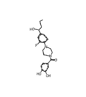 CCCC(O)c1ccc(N2CCN(C(=O)c3ccc(O)c(O)c3)CC2)c(F)c1